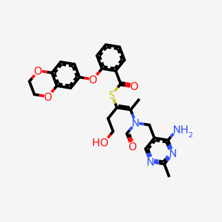 CC(=C(CCO)SC(=O)c1ccccc1Oc1ccc2c(c1)OCCO2)N(C=O)Cc1cnc(C)nc1N